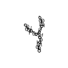 CC1(OC(=O)COc2c(I)cc(COc3ccc4c(c3)-c3cc(OCc5cc(I)c(OCC(=O)OC6(C)CCCCC6)c(I)c5)ccc3[SH]4c3ccc(Oc4cc(I)c(OCC(=O)OC5(C)CCCCC5)c(I)c4)cc3)cc2I)CCCCC1